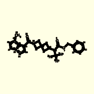 [2H]C([2H])([2H])N(C(=O)OCc1ccccc1)C1CC2(C1)CN(C(=O)c1cnn3ccn(C)c13)C2